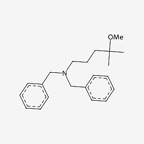 COC(C)(C)CCCN(Cc1ccccc1)Cc1ccccc1